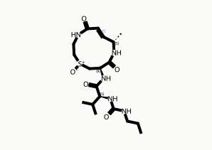 CCCNC(=O)N[C@H](C(=O)N[C@H]1C[S+]([O-])CCNC(=O)/C=C/[C@H](C)NC1=O)C(C)C